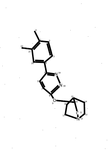 Cc1ccc(-c2ccc(OC3CN4CCC3CC4)nn2)cc1C